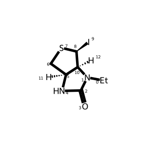 CCN1C(=O)N[C@H]2CS[C@@H](I)[C@H]21